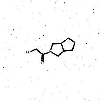 O=C(CO)N1CC2CCCC2C1